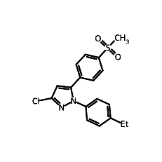 CCc1ccc(-n2nc(Cl)cc2-c2ccc(S(C)(=O)=O)cc2)cc1